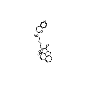 O=C(/C=C\c1cccnc1)NCCCCN1C(=O)C2CC3=C4C(=CCC3)C=CC(=O)C42C1=O